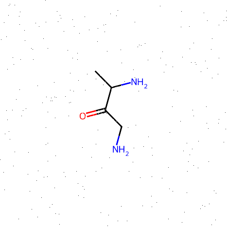 CC(N)C(=O)CN